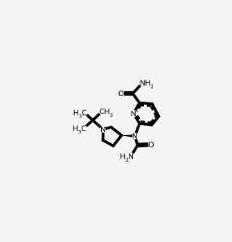 CC(C)(C)N1CC[C@H](N(C(N)=O)c2cc[c]c(C(N)=O)n2)C1